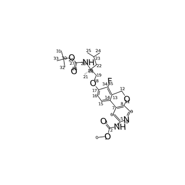 COC(=O)Nc1cc2c(cn1)OCc1c-2ccc(OC[C@](C)(CC(C)C)NC(=O)OC(C)(C)C)c1F